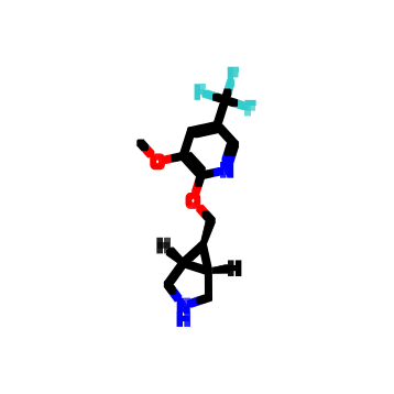 COc1cc(C(F)(F)F)cnc1OC[C@H]1[C@@H]2CNC[C@@H]21